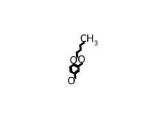 CCCCCC1OCc2cc(C=O)ccc2O1